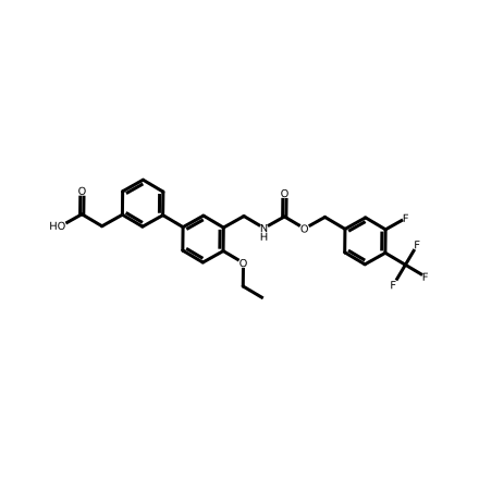 CCOc1ccc(-c2cccc(CC(=O)O)c2)cc1CNC(=O)OCc1ccc(C(F)(F)F)c(F)c1